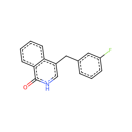 O=c1[nH]cc(Cc2cccc(F)c2)c2ccccc12